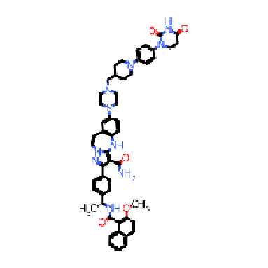 COc1ccc2ccccc2c1C(=O)N[C@H](C)c1ccc(-c2nn3c(c2C(N)=O)Nc2ccc(N4CCN(CC5CCN(c6ccc(N7CCC(=O)NC7=O)cc6)CC5)CC4)cc2CC3)cc1